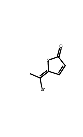 C/C(Br)=C1/C=CC(=O)S1